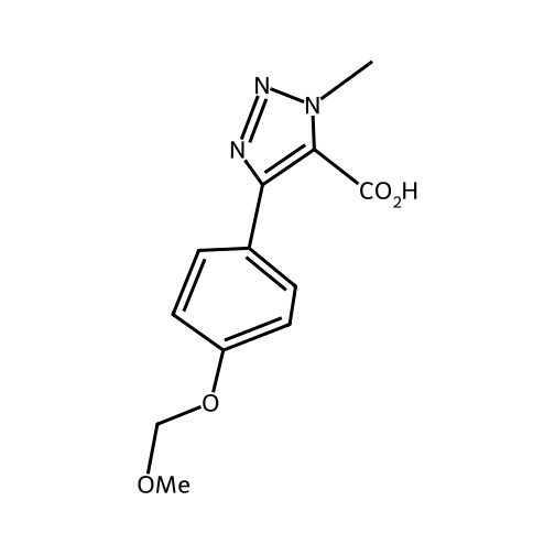 COCOc1ccc(-c2nnn(C)c2C(=O)O)cc1